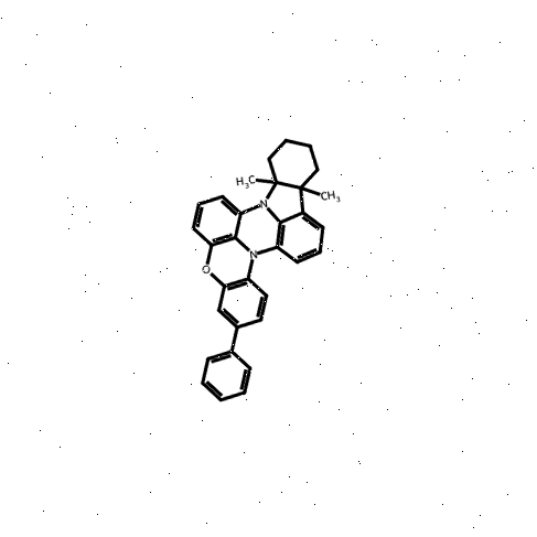 CC12CCCCC1(C)N1c3cccc4c3N(c3ccc(-c5ccccc5)cc3O4)c3cccc2c31